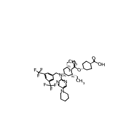 CC[C@@H]1C[C@H](N(Cc2cc(C(F)(F)F)cc(C(F)(F)F)c2)c2ncc(N3CCCCC3)cn2)C[C@H](CC)N1C(=O)O[C@H]1CC[C@H](C(=O)O)CC1